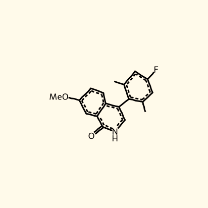 COc1ccc2c(-c3c(C)cc(F)cc3C)c[nH]c(=O)c2c1